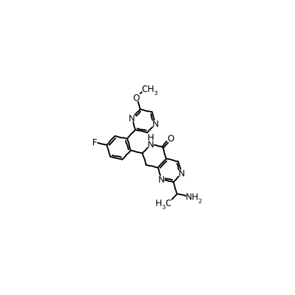 COc1cncc(-c2cc(F)ccc2C2Cc3nc(C(C)N)ncc3C(=O)N2)n1